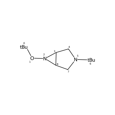 CC(C)(C)ON1C2CN(C(C)(C)C)CC21